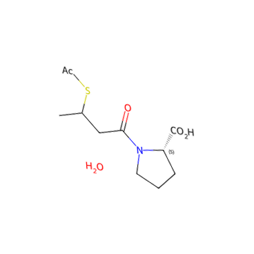 CC(=O)SC(C)CC(=O)N1CCC[C@H]1C(=O)O.O